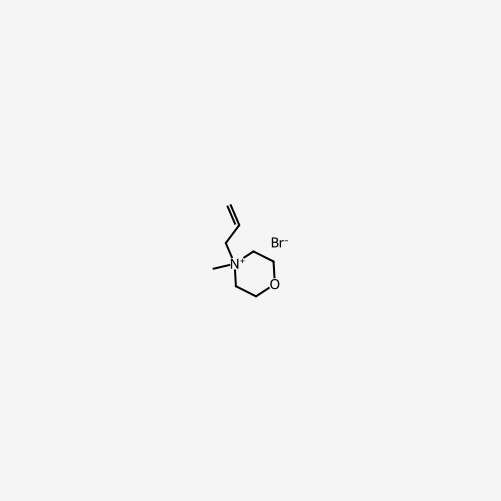 C=CC[N+]1(C)CCOCC1.[Br-]